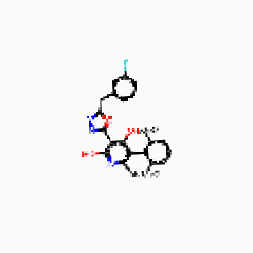 CCCCc1nc(O)c(-c2nnc(Cc3cccc(F)c3)o2)c(O)c1-c1c(OC)cccc1OC